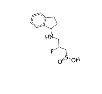 O=S(O)CC(F)CNC1CCc2ccccc21